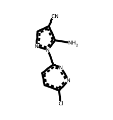 N#Cc1cnn(-c2ccc(Cl)nn2)c1N